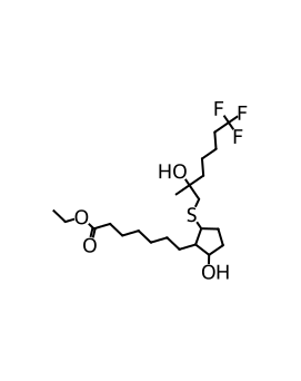 CCOC(=O)CCCCCCC1C(O)CCC1SCC(C)(O)CCCCC(F)(F)F